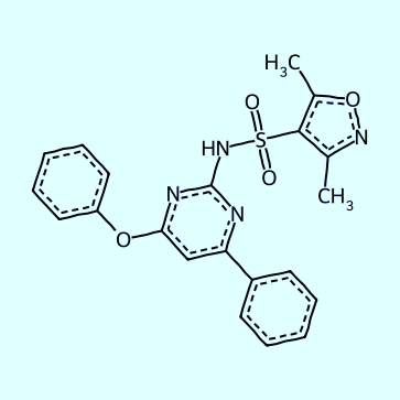 Cc1noc(C)c1S(=O)(=O)Nc1nc(Oc2ccccc2)cc(-c2ccccc2)n1